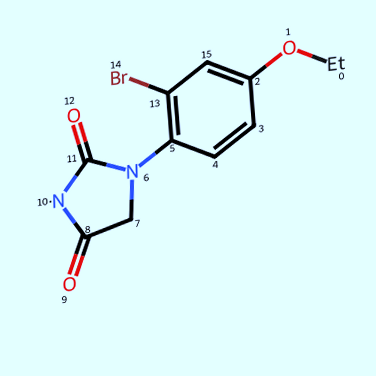 CCOc1ccc(N2CC(=O)[N]C2=O)c(Br)c1